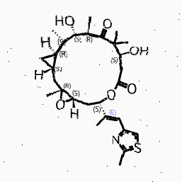 C/C(=C\c1csc(C)n1)[C@@H]1C[C@@H]2O[C@]2(C)C[C@@H]2C[C@H]2[C@H](C)[C@H](O)[C@@H](C)C(=O)C(C)(C)[C@@H](O)CC(=O)O1